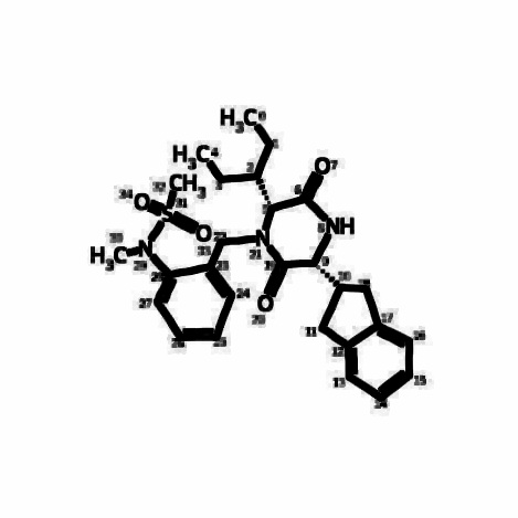 CCC(CC)[C@@H]1C(=O)N[C@H](C2Cc3ccccc3C2)C(=O)N1Cc1ccccc1N(C)S(C)(=O)=O